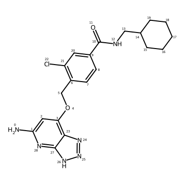 Nc1cc(OCc2ccc(C(=O)NCC3CCCCC3)cc2Cl)c2nn[nH]c2n1